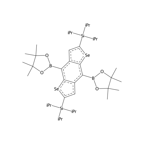 CC(C)[Si](c1cc2c(B3OC(C)(C)C(C)(C)O3)c3[se]c([Si](C(C)C)(C(C)C)C(C)C)cc3c(B3OC(C)(C)C(C)(C)O3)c2[se]1)(C(C)C)C(C)C